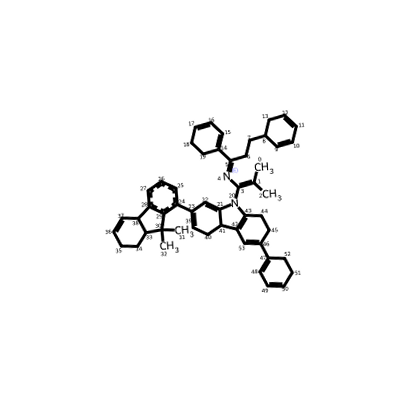 CC(C)=C(/N=C(\CCC1C=CC=CC1)C1=CC=CCC1)N1C2=CC(c3cccc4c3C(C)(C)C3CCC=CC43)=CCC2C2=C1CCC(C1=CC=CCC1)=C2